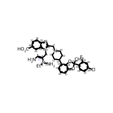 CCN(N)/C(=C\N)Cn1c(CN2CCC(c3cccc4c3OC(C)(c3ccc(Cl)cc3F)O4)CC2)nc2ccc(C(=O)O)cc21